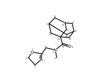 CN(CC1=CCCO1)C(=O)C12CC3CC(CC(C3)C1)C2